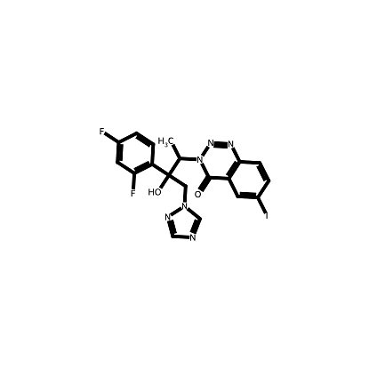 CC(n1nnc2ccc(I)cc2c1=O)C(O)(Cn1cncn1)c1ccc(F)cc1F